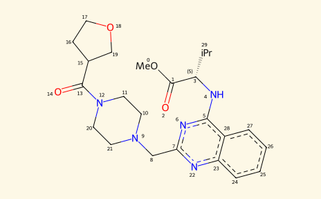 COC(=O)[C@@H](Nc1nc(CN2CCN(C(=O)C3CCOC3)CC2)nc2ccccc12)C(C)C